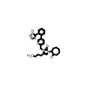 CCCCc1cn(C2CCCCCC2=O)c(=O)n1Cc1ccc(-c2ccccc2-c2nnn[nH]2)cn1